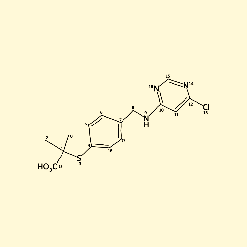 CC(C)(Sc1ccc(CNc2cc(Cl)ncn2)cc1)C(=O)O